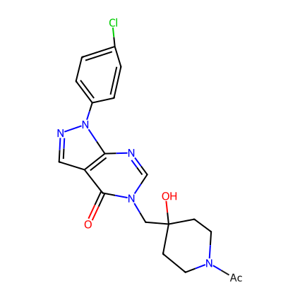 CC(=O)N1CCC(O)(Cn2cnc3c(cnn3-c3ccc(Cl)cc3)c2=O)CC1